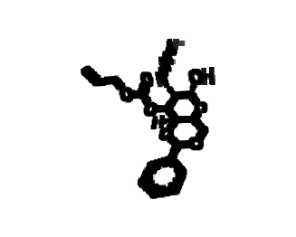 C=CCOC(=O)OC1[C@@H]2OC(c3ccccc3)OCC2O[C@@H](O)[C@H]1N=[N+]=[N-]